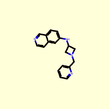 c1ccc(CN2CC(Nc3ccc4cnccc4c3)C2)nc1